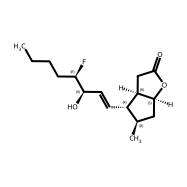 CCCC[C@@H](F)[C@H](O)C=C[C@@H]1[C@H]2CC(=O)O[C@H]2C[C@H]1C